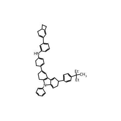 CCC(C)(CC)c1ccc(C2C=c3c4c(n(-c5ccccc5)c3=CC2)CCC(C2=CC=C(Nc3cccc(C5=CCC6CCC6=C5)c3)CC2)=C4)cc1